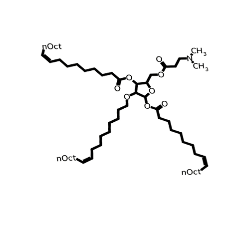 CCCCCCCC/C=C\CCCCCCCCOC1C(OC(=O)CCCCCCC/C=C\CCCCCCCC)OC(COC(=O)CCN(C)C)C1OC(=O)CCCCCCC/C=C\CCCCCCCC